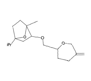 C=C1CCC(COC2CC3(C(C)C)CCC2(C)O3)OC1